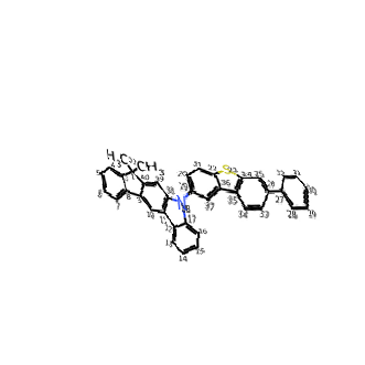 CC1(C)c2ccccc2-c2cc3c4ccccc4n(-c4ccc5sc6cc(-c7ccccc7)ccc6c5c4)c3cc21